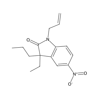 C=CCN1C(=O)C(CC)(CCC)c2cc([N+](=O)[O-])ccc21